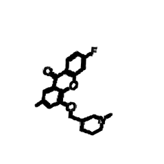 Cc1cc(OCC2CCCN(C)C2)c2oc3cc(F)ccc3c(=O)c2c1